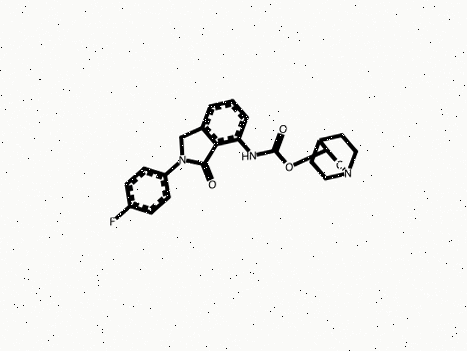 O=C(Nc1cccc2c1C(=O)N(c1ccc(F)cc1)C2)OC1CN2CCC1CC2